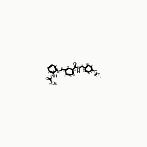 CC(C)(C)C(=O)Nc1ccccc1SCc1cccc(C(=O)NCc2ccc(OC(F)(F)F)cc2)c1